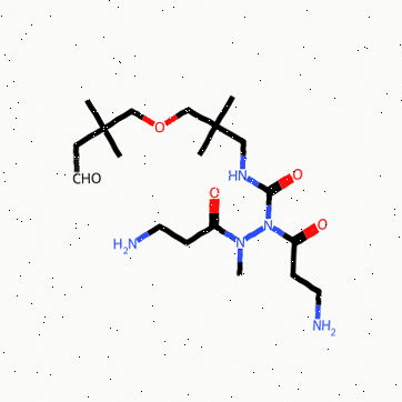 CN(C(=O)CCN)N(C(=O)CCN)C(=O)NCC(C)(C)COCC(C)(C)CC=O